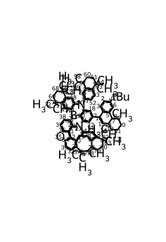 CC(C)(C)c1ccc2c(c1)C1(C)CCCCC1(C)C=C2c1cc2c3c(c1)-n1c4cc5c6cc4c4c(ccc7oc8ccc(c1c8c74)B3c1cc3c(cc1N2c1ccc2c(c1)C(C)(C)CCC2(C)C)C(C)(C)CCC3(C)C)C(C)(C)CC6(C)CCC5(C)C